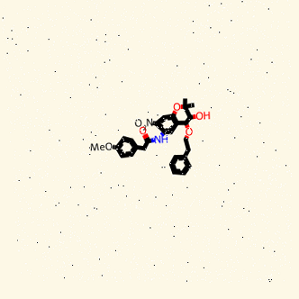 COc1ccc(CC(=O)Nc2cc3c(cc2[N+](=O)[O-])OC(C)(C)C(O)C3OCCc2ccccc2)cc1